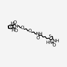 O=C(CCCCC1SCC2NC(=O)NC21)NCCCOCCCOCCN1C(=O)[C@@H]2C3C=CC(O3)[C@@H]2C1=O